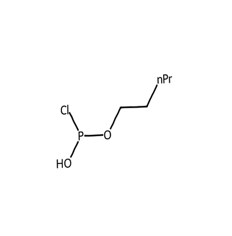 CCCCCOP(O)Cl